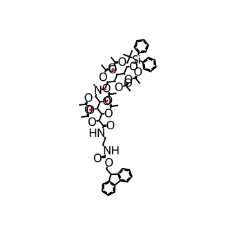 CC(=O)OC(CO[Si](c1ccccc1)(c1ccccc1)C(C)(C)C)C(OC(C)=O)C(OC(C)=O)C(CN(C)CC(OC(C)=O)C(OC(C)=O)C(OC(C)=O)C(OC(C)=O)C(=O)NCCNC(=O)OCC1c2ccccc2-c2ccccc21)OC(C)=O